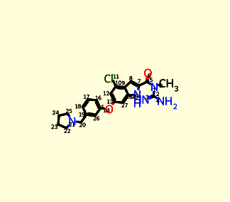 CN(C(=N)N)C(=O)c1cc2c(Cl)cc(Oc3cccc(CN4CCCC4)c3)cc2[nH]1